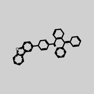 C=C(C1=CCC(c2ccc3oc4ccccc4c3c2)C=C1)C1=C(/C(=C2/C=CC=CC2)c2ccccc2)CCC=C1